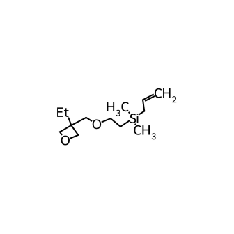 C=CC[Si](C)(C)CCOCC1(CC)COC1